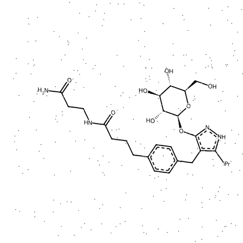 CC(C)c1[nH]nc(O[C@@H]2O[C@H](CO)[C@@H](O)[C@H](O)[C@H]2O)c1Cc1ccc(CCCC(=O)NCCC(N)=O)cc1